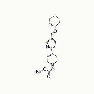 CC(C)(C)OC(=O)ON1CC=C(c2ccc(COC3CCCCO3)cn2)CC1